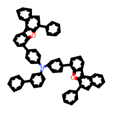 c1ccc(-c2cccc(N(c3ccc(-c4cccc5c4oc4c(-c6ccccc6)cc6ccccc6c45)cc3)c3ccc(-c4cccc5c4oc4c(-c6ccccc6)cc6ccccc6c45)cc3)c2)cc1